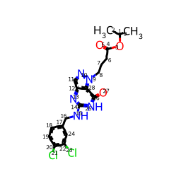 CC(C)OC(=O)CCCn1ncc2nc(NCc3ccc(Cl)c(Cl)c3)[nH]c(=O)c21